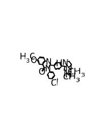 COc1ccc2nc(-c3ccc(C4(CN(C)C)NCCN4)cc3)n(-c3ccc(Cl)cc3)c(=O)c2c1